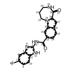 O=C(Nc1nc2cc(F)ccc2[nH]1)c1ccc2cc3n(c2c1)CCCNC3=O